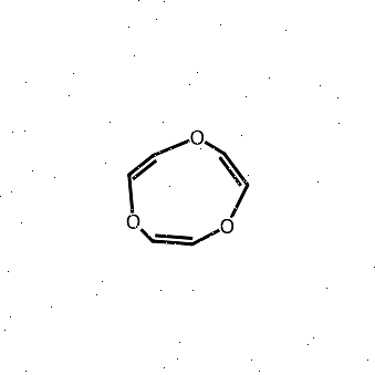 C1=COC=COC=CO1